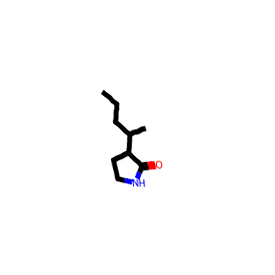 CCCC(C)C1CCNC1=O